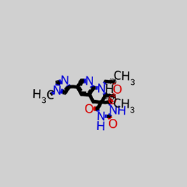 C[C@@H]1CN2c3ncc(-c4cn(C)cn4)cc3CC3(C(=O)NC(=O)NC3=O)[C@H]2[C@H](C)O1